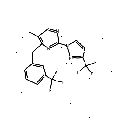 Cc1cnc(-n2ccc(C(F)(F)F)n2)nc1Cc1cccc(C(F)(F)F)c1